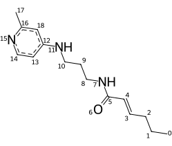 CCCC=CC(=O)NCCCNc1ccnc(C)c1